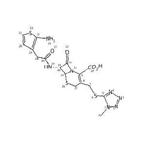 Cn1nnnc1SCC1=C(C(=O)O)N2C(=O)[C@@H](NC(=O)Cc3ccsc3N)C2SC1